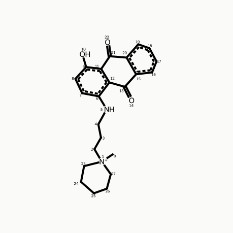 C[N+]1(CCCNc2ccc(O)c3c2C(=O)c2ccccc2C3=O)CCCCC1